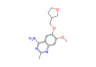 COc1cc2nc(C)nc(N)c2cc1OCC1CCOC1